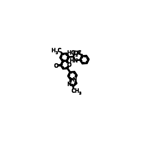 Cc1cc(C(C)Nc2ccccc2C(=O)O)c2oc(-c3ccn4cc(C)nc4c3)cc(=O)c2c1